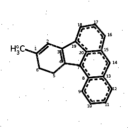 CC1=CC2=C(CC1)c1c3ccccc3cc3cccc2c13